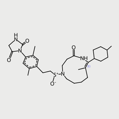 C/C1=C(/C2CCC(C)CC2)NC(=O)CCN([S+]([O-])CCc2cc(C)c(N3C(=O)CNC3=O)cc2C)CCCC1